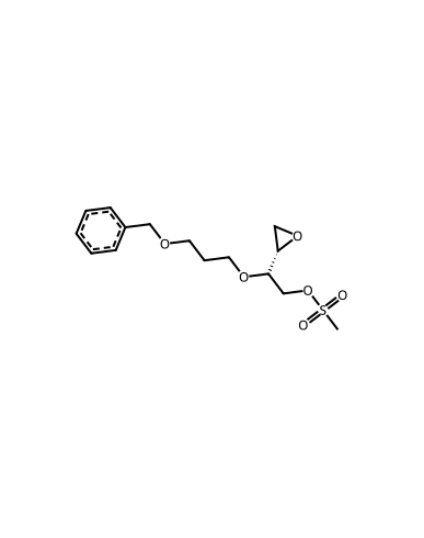 CS(=O)(=O)OCC(OCCCOCc1ccccc1)[C@@H]1CO1